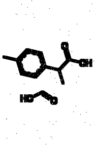 Cc1ccc(C(C)C(=O)O)cc1.O=CO